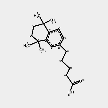 CC1(C)CCC(C)(C)c2cc(CCCCC(=O)O)ccc21